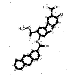 COC(=O)c1cc2c(cc1NC(=O)c1ccc3cc4ccccc4cc3c1)sc1cc(Cl)c(C(=O)O)cc12